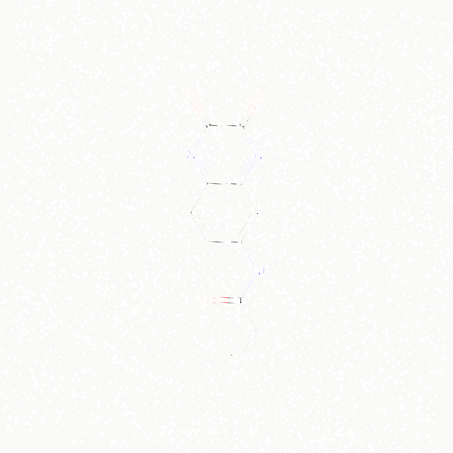 CC(=O)CC(=O)Nc1ccc2c(c1)=NC(=O)C(=O)N=2